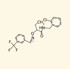 CCC(O/N=C\c1cccc(C(F)(F)F)c1)C(=O)NCc1ccccc1Cl